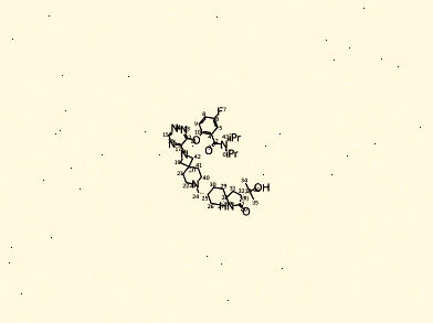 CC(C)N(C(=O)c1cc(F)ccc1Oc1nncnc1N1CC2(CCN(C[C@H]3CC[C@]4(CC3)C[C@H](C(C)(C)O)C(=O)N4)CC2)C1)C(C)C